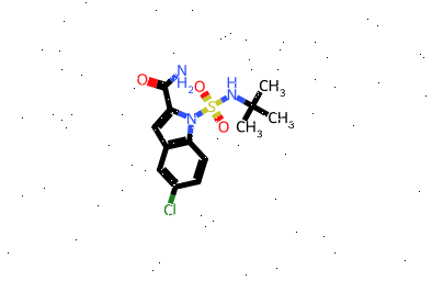 CC(C)(C)NS(=O)(=O)n1c(C(N)=O)cc2cc(Cl)ccc21